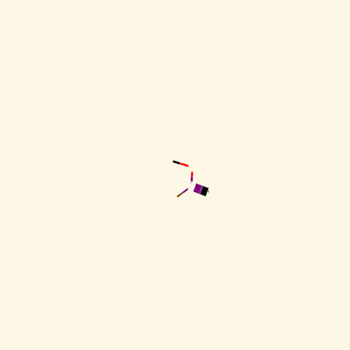 B#P(S)OC